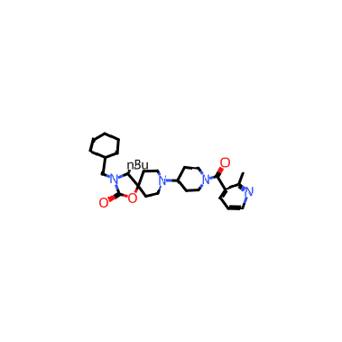 CCCCC1N(CC2CCCCC2)C(=O)OC12CCN(C1CCN(C(=O)c3cccnc3C)CC1)CC2